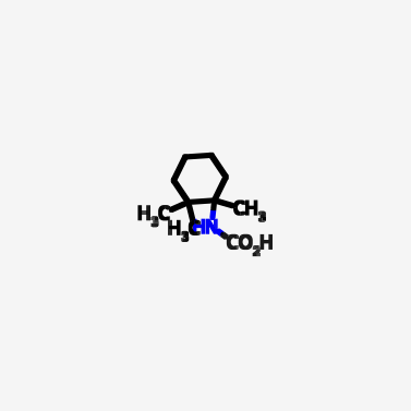 CC1(C)CCCCC1(C)NC(=O)O